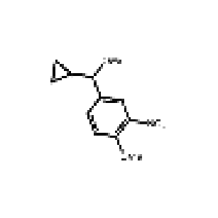 COc1ccc(C(OC)[C]2CC2)cc1[N+](=O)[O-]